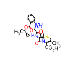 CC1=C(C(=O)O)N2C(=O)C(NC(=O)CNc3ccccc3C(=O)OC(C)C3CC3)[C@H]2SC1